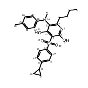 CCCCc1nc(O)c(S(=O)(=O)c2ccc(C3CC3)cc2)c(O)c1N(C)c1ccc(C)cc1